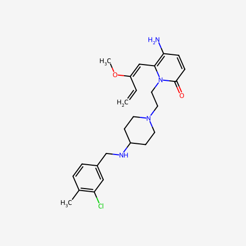 C=C/C(=C\c1c(N)ccc(=O)n1CCN1CCC(NCc2ccc(C)c(Cl)c2)CC1)OC